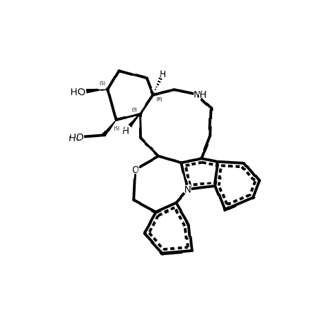 OC[C@@H]1[C@H]2CC3OCc4ccccc4-n4c3c(c3ccccc34)CCNC[C@@H]2CC[C@@H]1O